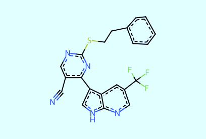 N#Cc1cnc(SCCc2ccccc2)nc1-c1c[nH]c2ncc(C(F)(F)F)cc12